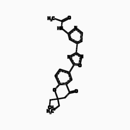 CCC1(CC)CC(=O)c2cc(-c3nc(-c4ccnc(NC(C)=O)c4)no3)ccc2O1